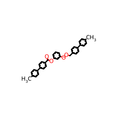 Cc1ccc(-c2ccc(COOc3cccc(OC(=O)c4ccc(-c5ccc(C)cc5)cc4)c3)cc2)cc1